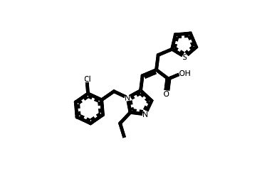 CCc1ncc(C=C(Cc2cccs2)C(=O)O)n1Cc1ccccc1Cl